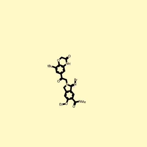 CCOc1cc2c(cc1C(=O)NC)/C(=N/Br)N(CC(=O)c1cc3c(c(C(C)(C)C)c1)OCC(=O)N3)C2